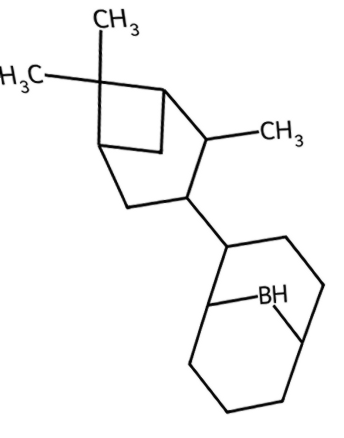 CC1C(C2CCC3BC2CCC3)CC2CC1C2(C)C